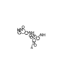 CNCc1ccccc1CN(CC(=O)Nc1ccc2c(c1)CC(=O)Nc1ncccc1C2)C(=O)C1(C)CCN(C(=O)CC2CC2)CC1